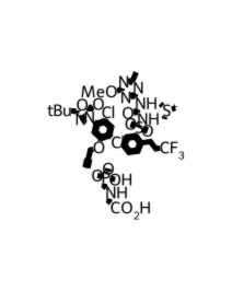 C#CCOc1cc(-n2nc(C(C)(C)C)oc2=O)c(Cl)cc1Cl.COc1nc(C)nc(NC(=O)NS(=O)(=O)c2ccccc2CCC(F)(F)F)n1.C[S+](C)C.O=C(O)CNCP(=O)([O-])O